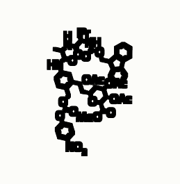 COC(=O)[C@H]1O[C@@H](CCc2cc(NC(=O)C(C)NC(=O)C(NC(=O)OCC3c4ccccc4-c4ccccc43)C(C)C)ccc2COC(=O)Oc2ccc([N+](=O)[O-])cc2)[C@H](OC(C)=O)[C@@H](OC(C)=O)[C@@H]1OC(C)=O